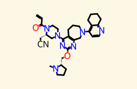 C=CC(=O)N1CCN(c2nc(OC[C@@H]3CCCN3C)nc3c2CCCN(c2ccnc4c2CCCC4)C3)C[C@@H]1CC#N